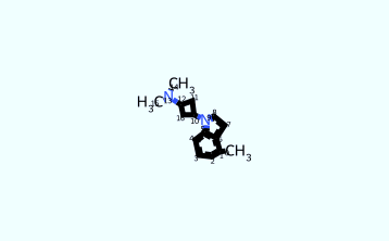 Cc1cccc2c1ccn2C1CC(N(C)C)C1